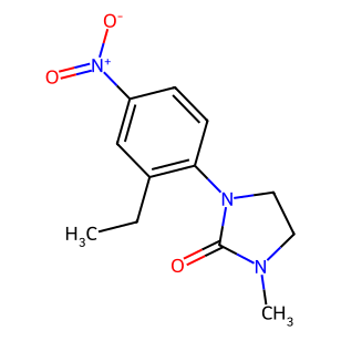 CCc1cc([N+](=O)[O-])ccc1N1CCN(C)C1=O